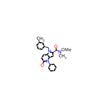 CON(C)C(=O)c1cc2c(ccc(=O)n2-c2ccccc2)n1Cc1cccc(C)c1